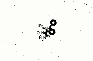 CC(C)CNc1c([N+](=O)[O-])c(N)nc2cccc(Cc3ccccc3)c12